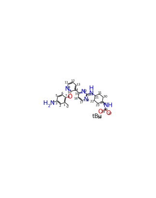 Cc1cc(N)ccc1Oc1ncccc1-c1ccnc(NC2CCC(NC(=O)OC(C)(C)C)CC2)n1